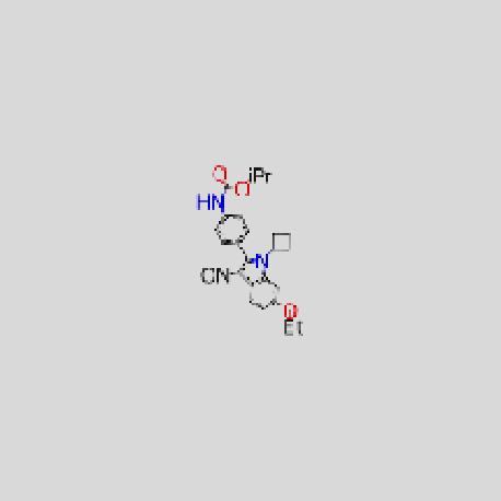 CCOc1ccc2c(N=O)c(-c3ccc(NC(=O)OC(C)C)cc3)n(C3CCC3)c2c1